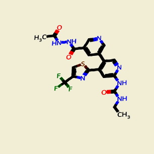 CCNC(=O)Nc1cc(-c2nc(C(F)(F)F)cs2)c(-c2cncc(C(=O)NNC(C)=O)c2)cn1